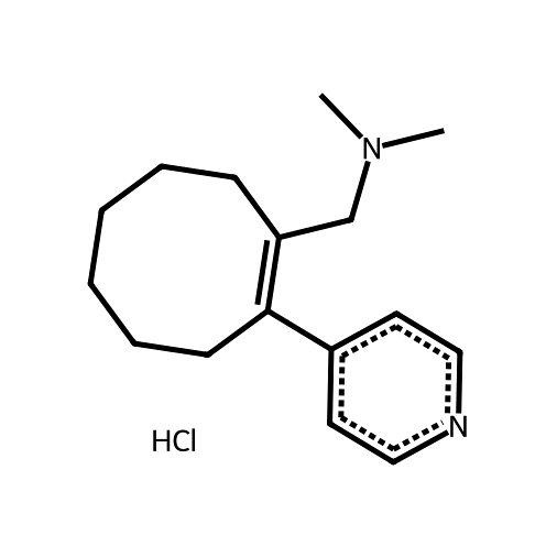 CN(C)CC1=C(c2ccncc2)CCCCCC1.Cl